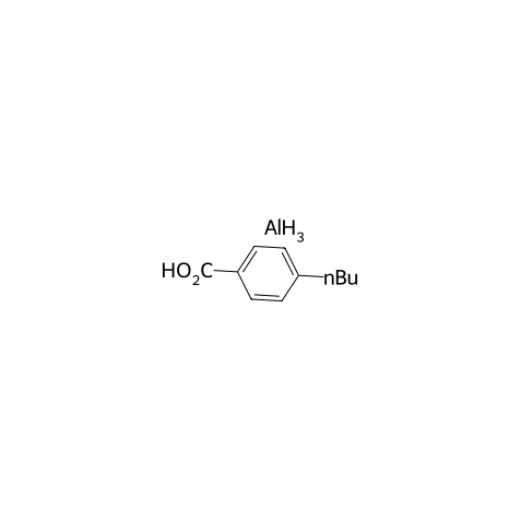 CCCCc1ccc(C(=O)O)cc1.[AlH3]